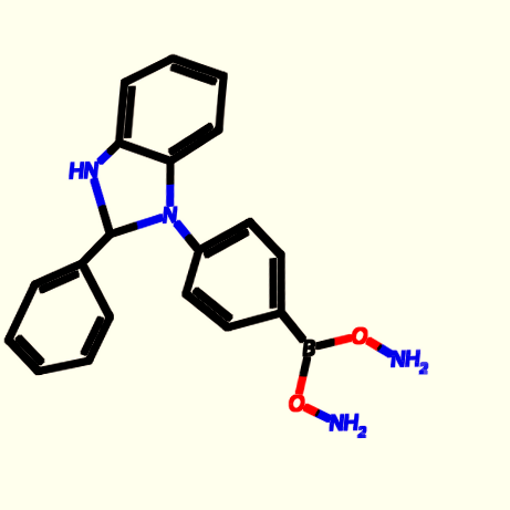 NOB(ON)c1ccc(N2c3ccccc3NC2c2ccccc2)cc1